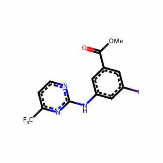 COC(=O)c1cc(I)cc(Nc2nccc(C(F)(F)F)n2)c1